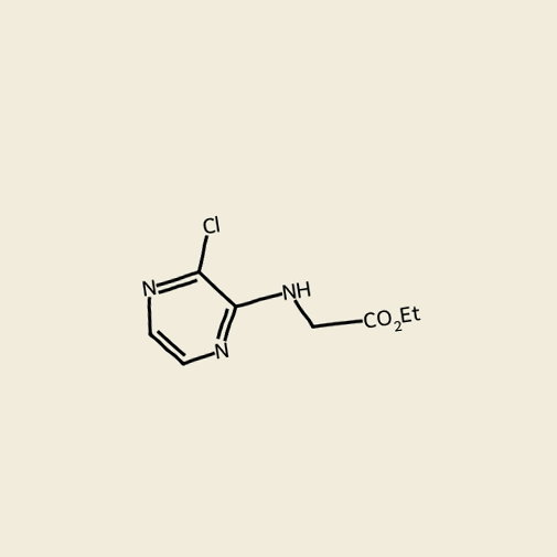 CCOC(=O)CNc1nccnc1Cl